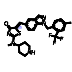 Cc1ccc(Cn2ncc3cc(/C=C4\SC(N(C)C5CCNCC5)=NC4=O)ccc32)c(C(F)(F)F)c1